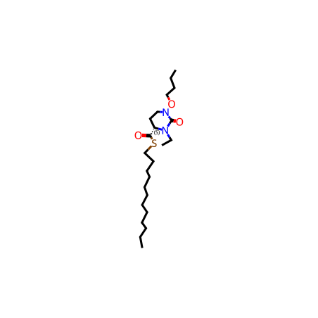 CCCCCCCCCCCCSC(=O)[C@@H]1CCN(OCCCC)C(=O)N1CC